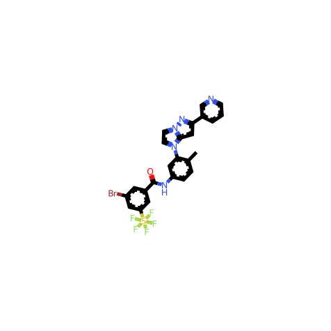 Cc1ccc(NC(=O)c2cc(Br)cc(S(F)(F)(F)(F)F)c2)cc1-n1ccn2nc(-c3cccnc3)cc12